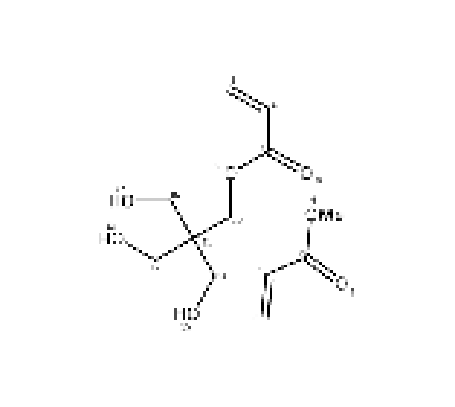 C=CC(=O)OC.C=CC(=O)OCC(CO)(CO)CO